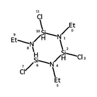 CCN1[SiH](Cl)N(CC)[SiH](Cl)N(CC)[SiH]1Cl